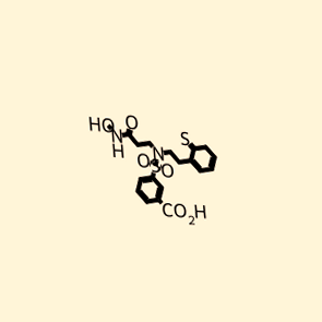 O=C(CCN(CCC1=CC=CCC1=S)S(=O)(=O)c1cccc(C(=O)O)c1)NO